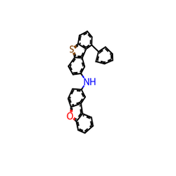 c1ccc(-c2cccc3sc4ccc(Nc5ccc6oc7ccccc7c6c5)cc4c23)cc1